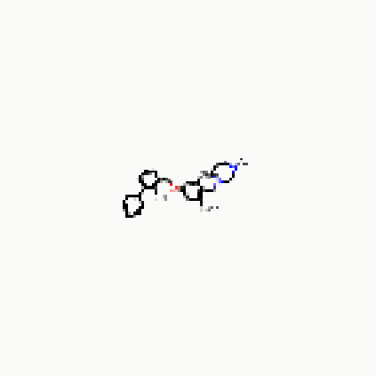 COc1cc(OCc2cccc(-c3ccccc3)c2C#N)cc(OC)c1CN1CCCN(C(C)=O)CC1